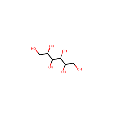 OCC(O)[C@@H](O)C(O)[C@H](O)CO